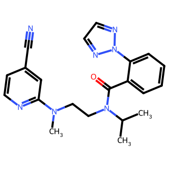 CC(C)N(CCN(C)c1cc(C#N)ccn1)C(=O)c1ccccc1-n1nccn1